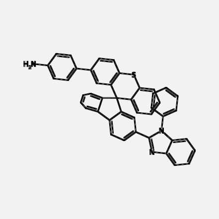 Nc1ccc(-c2ccc3c(c2)C2(c4ccccc4S3)c3ccccc3-c3ccc(-c4nc5ccccc5n4-c4ccccc4)cc32)cc1